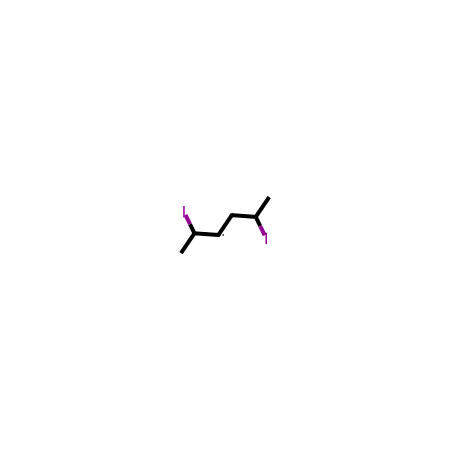 CC(I)[CH]CC(C)I